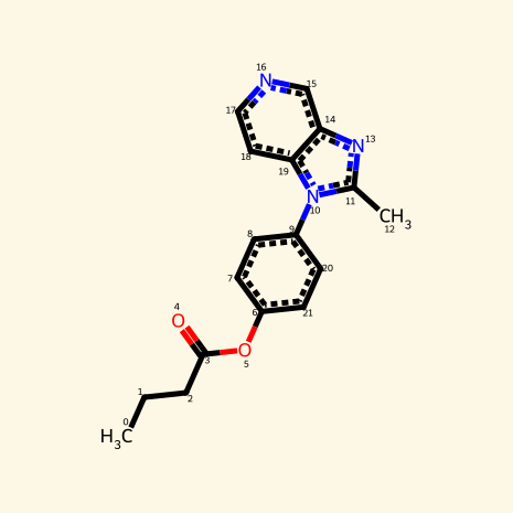 CCCC(=O)Oc1ccc(-n2c(C)nc3cnccc32)cc1